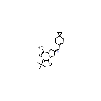 CC(C)(C)OC(=O)N1C/C(=C/C2=CCC3(CC2)CC3)CC1C(=O)O